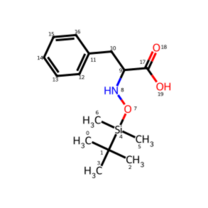 CC(C)(C)[Si](C)(C)ONC(Cc1ccccc1)C(=O)O